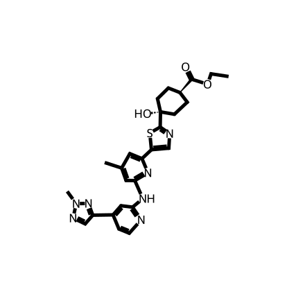 CCOC(=O)[C@H]1CC[C@@](O)(c2ncc(-c3cc(C)cc(Nc4cc(-c5cnn(C)n5)ccn4)n3)s2)CC1